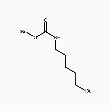 CCC(C)CCCCCNC(=O)OC(C)(C)C